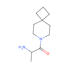 CC(N)C(=O)N1CCC2(CCC2)CC1